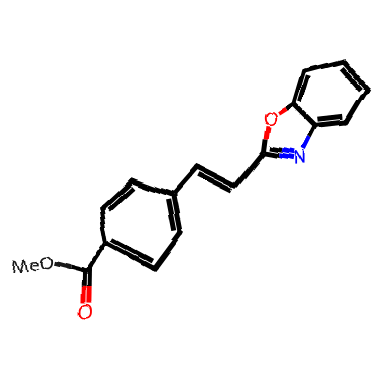 COC(=O)c1ccc(C=Cc2nc3ccccc3o2)cc1